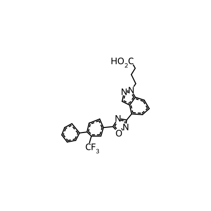 O=C(O)CCCn1ncc2c(-c3noc(-c4ccc(-c5ccccc5)c(C(F)(F)F)c4)n3)cccc21